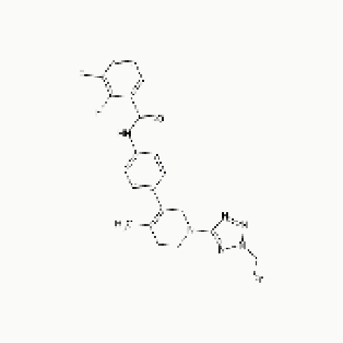 CC1=C(c2ccc(NC(=O)c3cccc(F)c3F)cc2)CN(c2nnn(CC(C)C)n2)CC1